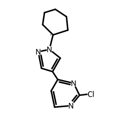 Clc1nccc(-c2cnn([C]3CCCCC3)c2)n1